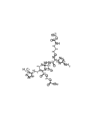 Cn1nnnc1SCC1=C(C(=O)OCOC(=O)C(C)(C)C)N2C(=O)C(NC(=O)C(=NOCCCNC(=O)OC(C)(C)C)c3nsc(N)n3)[C@@H]2SC1